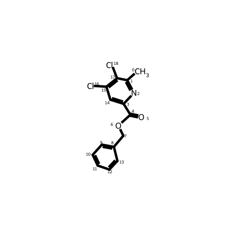 Cc1nc(C(=O)OCc2ccccc2)cc(Cl)c1Cl